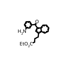 CCOC(=O)CCCc1cc(C(=O)c2cccc(N)c2)c2cccccc1-2